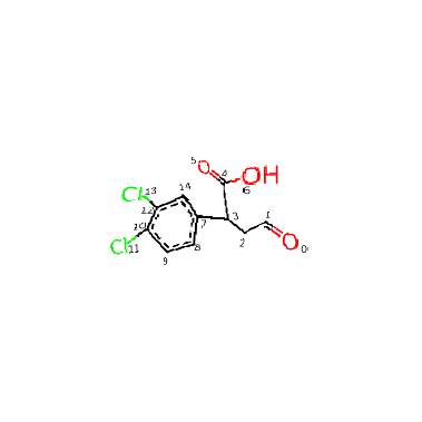 O=CCC(C(=O)O)c1ccc(Cl)c(Cl)c1